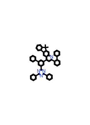 CC1(C)c2ccccc2-c2cc3c(-c4cc(-c5ccccc5)cc(-c5nc(-c6ccccc6)nc(-c6ccccc6)n5)c4)cc(-c4ccccc4-c4ccccc4)nc3cc21